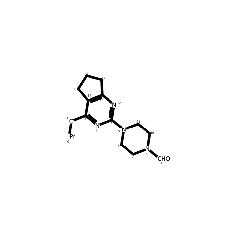 CC(C)Oc1nc(N2CCN(C=O)CC2)nc2c1CCC2